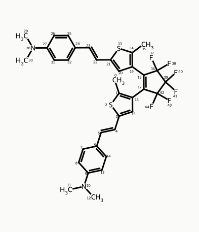 Cc1sc(C=Cc2ccc(N(C)C)cc2)cc1C1=C(c2cc(C=Cc3ccc(N(C)C)cc3)sc2C)C(F)(F)C(F)(F)C1(F)F